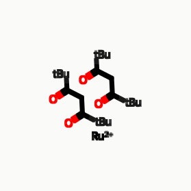 CC(C)(C)C(=O)CC(=O)C(C)(C)C.CC(C)(C)C(=O)CC(=O)C(C)(C)C.[Ru+2]